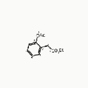 CCOC(=O)Cc1ccccc1OC(C)=O